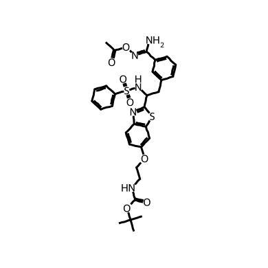 CC(=O)ON=C(N)c1cccc(CC(NS(=O)(=O)c2ccccc2)c2nc3ccc(OCCNC(=O)OC(C)(C)C)cc3s2)c1